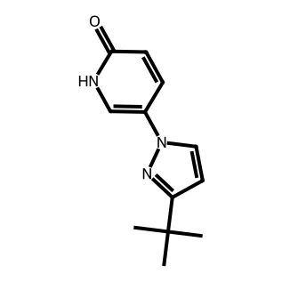 CC(C)(C)c1ccn(-c2ccc(=O)[nH]c2)n1